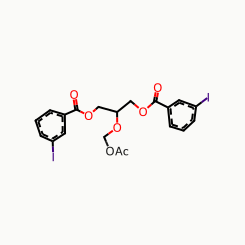 CC(=O)OCOC(COC(=O)c1cccc(I)c1)COC(=O)c1cccc(I)c1